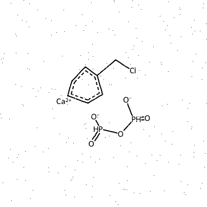 ClCc1ccccc1.O=[PH]([O-])O[PH](=O)[O-].[Ca+2]